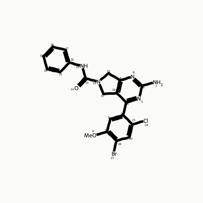 COc1cc(-c2nc(N)nc3c2CN(C(=O)Nc2ccccc2)C3)c(Cl)cc1Br